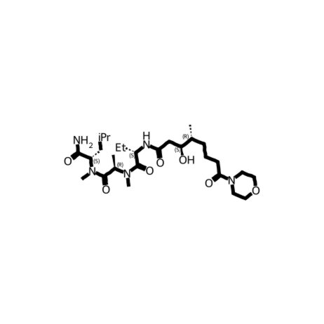 CC[C@H](NC(=O)C[C@H](O)[C@H](C)CCCC(=O)N1CCOCC1)C(=O)N(C)[C@H](C)C(=O)N(C)[C@@H](CC(C)C)C(N)=O